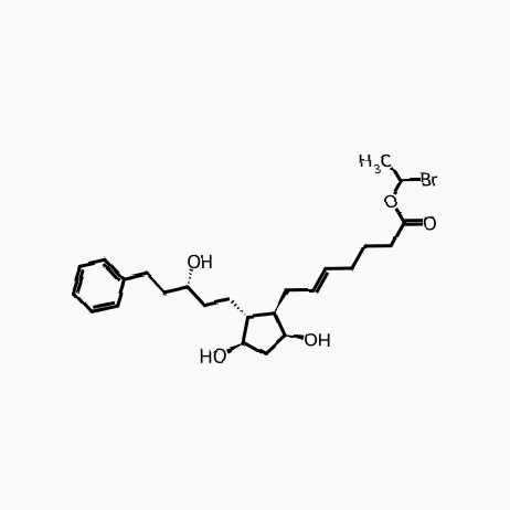 CC(Br)OC(=O)CCCC=CC[C@@H]1[C@@H](CC[C@@H](O)CCc2ccccc2)[C@H](O)C[C@@H]1O